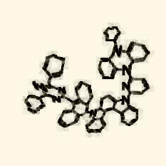 c1ccc(-c2nc(-c3ccccc3)nc(-c3c4ccccc4c(-n4c5ccccc5c5c6c7ccccc7n(-c7cccc(N8c9ccccc9N(c9ccccc9)c9ccccc98)n7)c6ccc54)c4ccccc34)n2)cc1